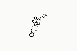 O=C(NCC1CCOC1)c1noc(CCCc2ccccc2F)c1CO